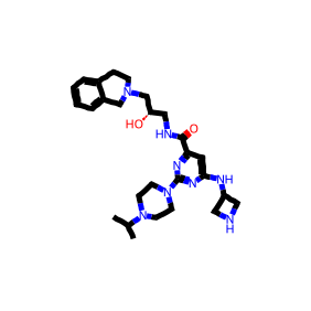 CC(C)N1CCN(c2nc(NC3CNC3)cc(C(=O)NC[C@H](O)CN3CCc4ccccc4C3)n2)CC1